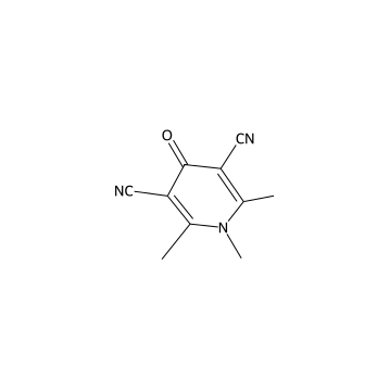 Cc1c(C#N)c(=O)c(C#N)c(C)n1C